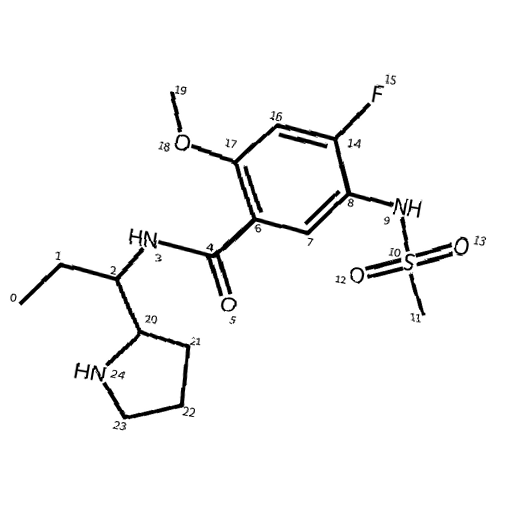 CCC(NC(=O)c1cc(NS(C)(=O)=O)c(F)cc1OC)C1CCCN1